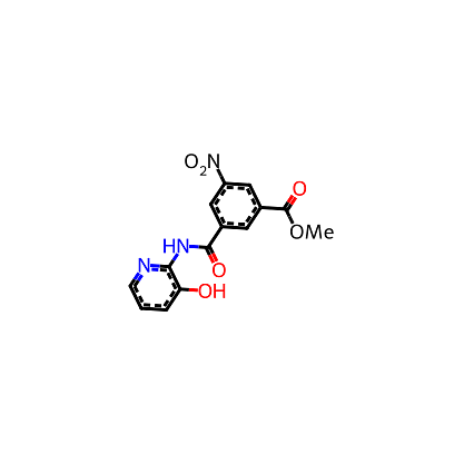 COC(=O)c1cc(C(=O)Nc2ncccc2O)cc([N+](=O)[O-])c1